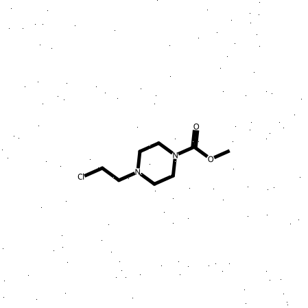 COC(=O)N1CCN(CCCl)CC1